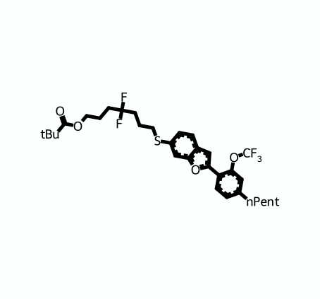 CCCCCc1ccc(-c2cc3ccc(SCCCC(F)(F)CCCOC(=O)C(C)(C)C)cc3o2)c(OC(F)(F)F)c1